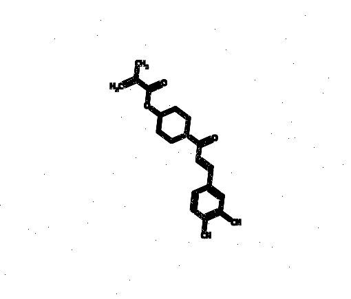 C=C(C)C(=O)OC1CCN(C(=O)/C=C/c2ccc(C#N)c(C#N)c2)CC1